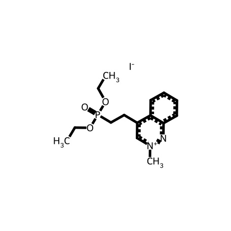 CCOP(=O)(CCc1c[n+](C)nc2ccccc12)OCC.[I-]